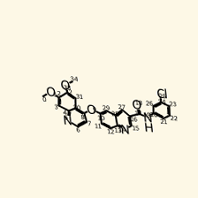 COc1cc2nccc(Oc3ccc4ncc(C(=O)Nc5cccc(Cl)c5)cc4c3)c2cc1OC